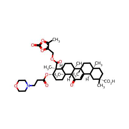 Cc1oc(=O)oc1COC(=O)[C@]1(C)[C@@H](OC(=O)CCN2CCOCC2)CC[C@@]2(C)[C@H]1CC[C@]1(C)[C@@H]2C(=O)C=C2[C@@H]3C[C@@](C)(C(=O)O)CC[C@]3(C)CC[C@]21C